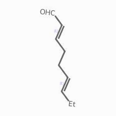 CC/C=C/CC/C=C/C=O